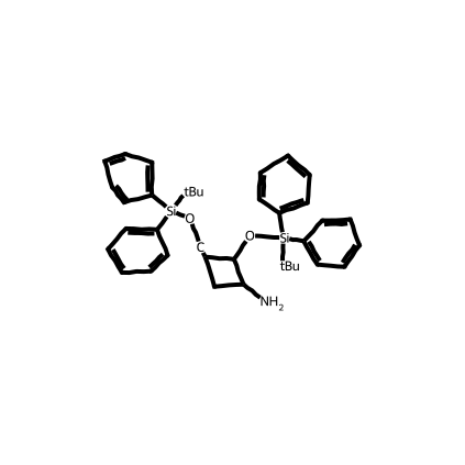 CC(C)(C)[Si](OCC1CC(N)C1O[Si](c1ccccc1)(c1ccccc1)C(C)(C)C)(c1ccccc1)c1ccccc1